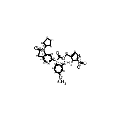 COc1ccc(N(C(=O)OCC2=CN=C([N+](=O)[O-])C2)c2cc3c(cn2)CC(=O)N3C2CCCC2)c(C)c1